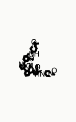 COc1cc(-c2nccc(-c3cccc(-c4ccc(CNC5CCN(C(C)=O)CC5)c(OC)n4)c3C#N)c2Cl)ccc1CNC1CCN(C(C)=O)CC1